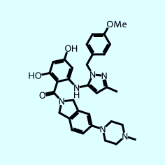 COc1ccc(Cn2nc(C)cc2Nc2cc(O)cc(O)c2C(=O)N2Cc3ccc(N4CCN(C)CC4)cc3C2)cc1